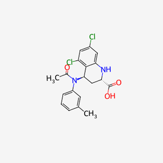 CC(=O)N(c1cccc(C)c1)[C@@H]1C[C@@H](C(=O)O)Nc2cc(Cl)cc(Cl)c21